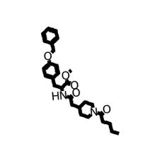 CCCCC(=O)N1CCC(CC(=O)NC(Cc2ccc(OCc3ccccc3)cc2)C(=O)OC)CC1